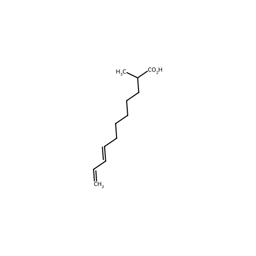 C=CC=CCCCCCC(C)C(=O)O